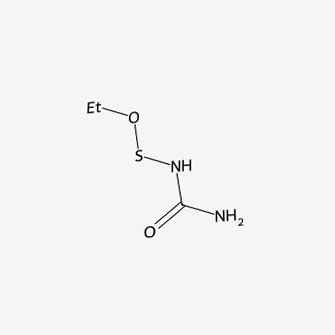 CCOSNC(N)=O